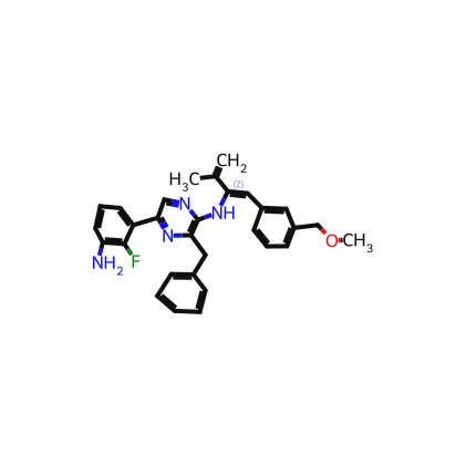 C=C(C)/C(=C/c1cccc(COC)c1)Nc1ncc(-c2cccc(N)c2F)nc1Cc1ccccc1